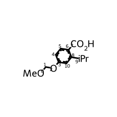 COCOc1ccc(C(=O)O)c(C(C)C)c1